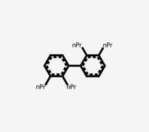 CCCc1cccc(-c2cccc(CCC)c2CCC)c1CCC